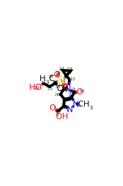 Cn1nc(C(=O)O)c2c1C(=O)N(CC1(S(=O)(=O)C(C)(C)CCO)CC1)CC2